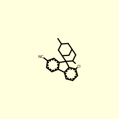 CC1CC2CC(C)C3(c4cc(C#N)ccc4-c4cccc(Cl)c43)C(C1)C2